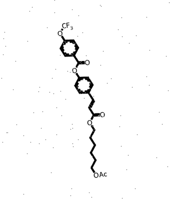 CC(=O)OCCCCCCOC(=O)/C=C/c1ccc(OC(=O)c2ccc(OC(F)(F)F)cc2)cc1